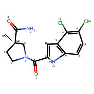 C[C@@]1(C(N)=O)CCN(C(=O)c2cc3c(Cl)c(Cl)ccc3[nH]2)C1